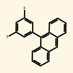 Fc1cc(F)cc(-c2c3ccccc3cc3ccccc23)c1